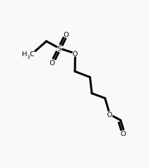 CCS(=O)(=O)OCCCCOC=O